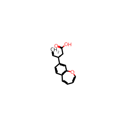 C=CC(CC(=O)O)c1ccc2c(c1)OC=CC=C2